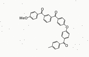 COc1ccc(C(=O)c2cccc(C(=O)c3ccc(Oc4ccc(C(=O)c5ccc(C)cc5)cc4)cc3)c2)cc1